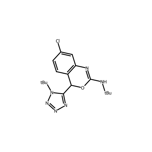 CC(C)(C)NC1=Nc2cc(Cl)ccc2C(c2nnnn2C(C)(C)C)O1